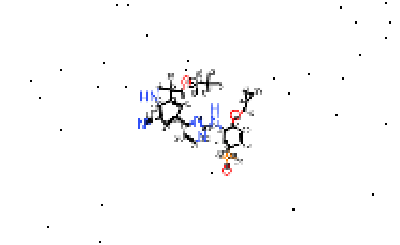 CC(C)(C)[Si](C)(C)OC[C@@]1(C)CNc2c(C#N)cc(-c3ccnc(Nc4cc(P(C)(C)=O)ccc4OCC4CC4)n3)cc21